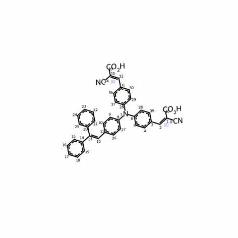 N#C/C(=C/c1ccc(N(c2ccc(C=C(c3ccccc3)c3ccccc3)cc2)c2ccc(/C=C(\C#N)C(=O)O)cc2)cc1)C(=O)O